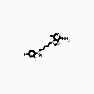 Cc1cnc(N)c2ncn(CCCCC[S+]([O-])c3ccc(F)cc3F)c12